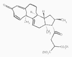 CCOC(=O)C(CC(=O)[C@H]1[C@H](C)C[C@H]2[C@@H]3CCC4=CC(=O)C=C[C@]4(C)C3=CC[C@@]21C)C(=O)OCC